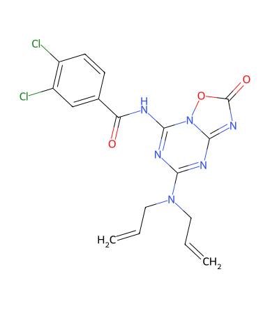 C=CCN(CC=C)c1nc(NC(=O)c2ccc(Cl)c(Cl)c2)n2oc(=O)nc2n1